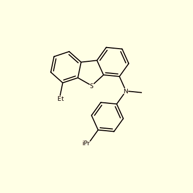 CCc1cccc2c1sc1c(N(C)c3ccc(C(C)C)cc3)cccc12